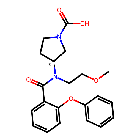 COCCN(C(=O)c1ccccc1Oc1ccccc1)[C@H]1CCN(C(=O)O)C1